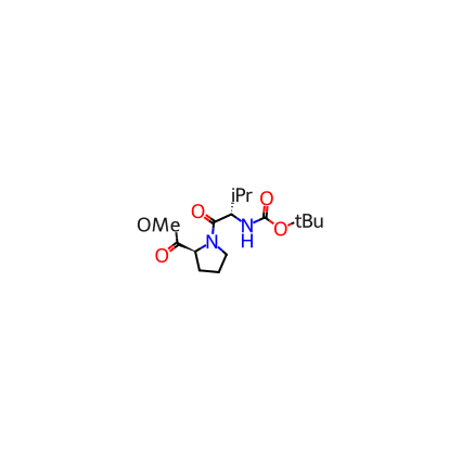 COC(=O)[C@@H]1CCCN1C(=O)[C@@H](NC(=O)OC(C)(C)C)C(C)C